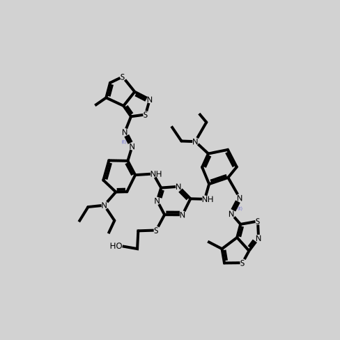 CCN(CC)c1ccc(/N=N/c2snc3scc(C)c23)c(Nc2nc(Nc3cc(N(CC)CC)ccc3/N=N/c3snc4scc(C)c34)nc(SCCO)n2)c1